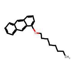 CCCCCCCCOc1cccc2cc3ccccc3cc12